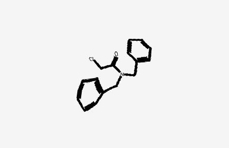 O=C(CCl)N([CH]c1ccccc1)[CH]c1ccccc1